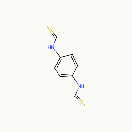 S=CNc1ccc(NC=S)cc1